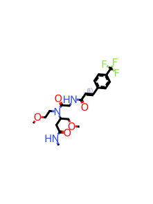 CNC(=O)CC(COC)N(CCOC)C(=O)CNC(=O)/C=C/c1ccc(C(F)(F)F)cc1